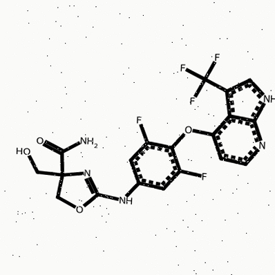 NC(=O)C1(CO)COC(Nc2cc(F)c(Oc3ccnc4[nH]cc(C(F)(F)F)c34)c(F)c2)=N1